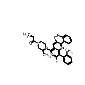 C=CC(=O)N1CCN(c2nc(F)c(-c3ccccc3C)c3nc(-c4ccccc4F)c(Cl)cc23)C(C)C1